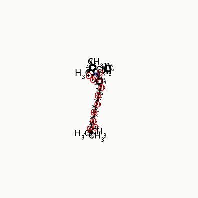 Cc1cc(C)c(/C(C(=O)O)=C(\OCc2ccccc2)C2CCC(OCCOCCOCCOCCOCC(=O)OC(C)(C)C)CC2)c(C)c1